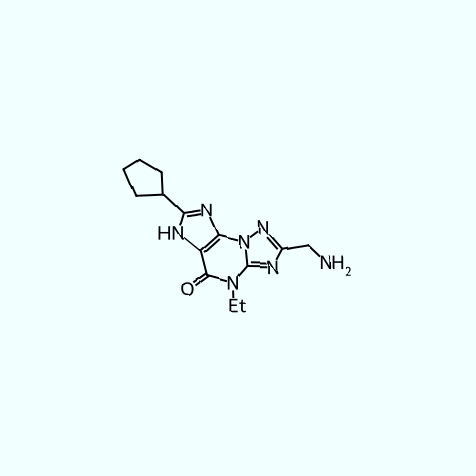 CCn1c(=O)c2[nH]c(C3CCCC3)nc2n2nc(CN)nc12